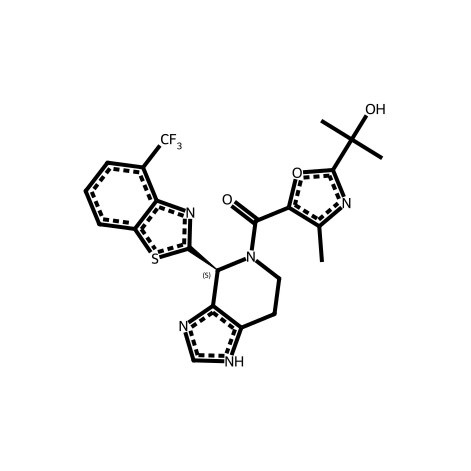 Cc1nc(C(C)(C)O)oc1C(=O)N1CCc2[nH]cnc2[C@H]1c1nc2c(C(F)(F)F)cccc2s1